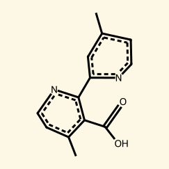 Cc1ccnc(-c2nccc(C)c2C(=O)O)c1